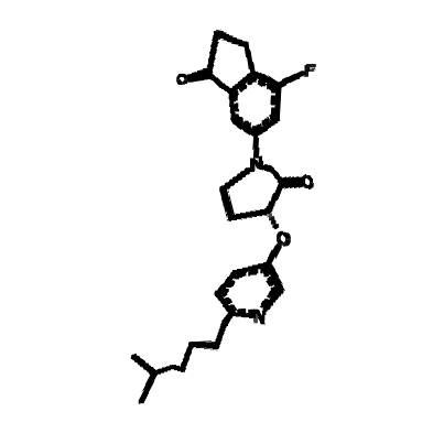 CC(C)CCCc1ccc(O[C@@H]2CCN(c3cc(F)c4c(c3)C(=O)CC4)C2=O)cn1